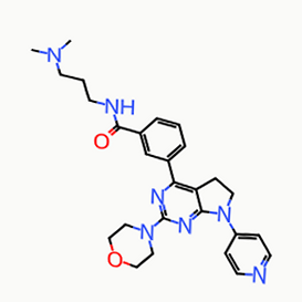 CN(C)CCCNC(=O)c1cccc(-c2nc(N3CCOCC3)nc3c2CCN3c2ccncc2)c1